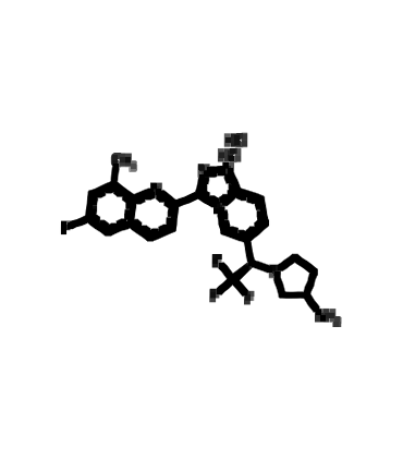 Cc1cc(F)cc2ccc(-c3nnc4ccc([C@@H](N5CCC(N)C5)C(F)(F)F)cn34)nc12.Cl.Cl